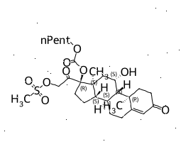 CCCCCOC(=O)O[C@]1(C(=O)COS(C)(=O)=O)CC[C@H]2[C@@H]3CCC4=CC(=O)CC[C@]4(C)[C@H]3[C@@H](O)C[C@@]21C